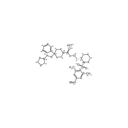 COc1cc(C)c(S(=O)(=O)N2CCCC[C@H]2COCC(=O)N2CCC(CCN3CCCC3)(c3cccnc3)CC2)c(C)c1.Cl